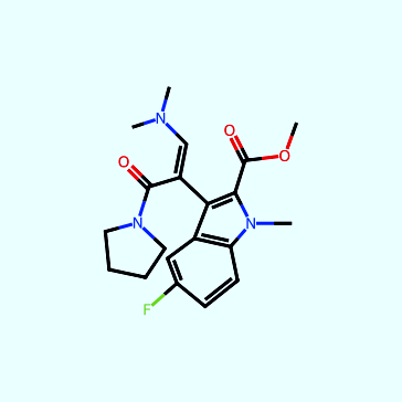 COC(=O)c1c(C(=CN(C)C)C(=O)N2CCCC2)c2cc(F)ccc2n1C